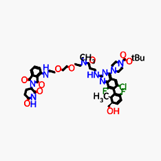 C[C@@H]1C(c2c(Cl)cc3c(N4CCN(C(=O)OC(C)(C)C)CC4)nc(NCCC(=O)N(C)CCOCCOCCNc4cccc5c4C(=O)N(C4CCC(=O)NC4=O)C5=O)nc3c2F)=C(F)C=C[C@H]1CO